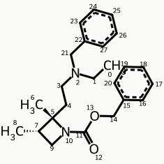 CCN(CC[C@@]1(C)[C@@H](C)CN1C(=O)OCc1ccccc1)Cc1ccccc1